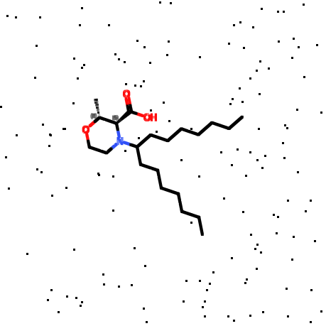 CCCCCCCC(CCCCCCC)N1CCO[C@H](C)[C@H]1C(=O)O